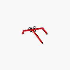 CCCC/C=C\CCCCCCCC(=O)OC[C@H](COC(=O)CCCCCCCCC/C=C\CCCCCCCCCC)OC(=O)CCCCCCCCCCCCCCCCCCCCC